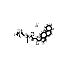 CC[N+](C)(C)CCCNC(=O)CC[C@@H](C)[C@H]1CCC2C3CCC4CCCC[C@]4(C)C3CC[C@@]21C.[I-]